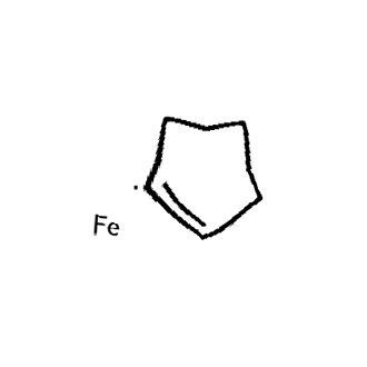 [C]1=CCCC1.[Fe]